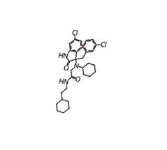 O=C(CN(C1CCCCC1)C1(Cc2cccc(Cl)c2)C(=O)Nc2cc(Cl)ccc21)NCCC1CCCCC1